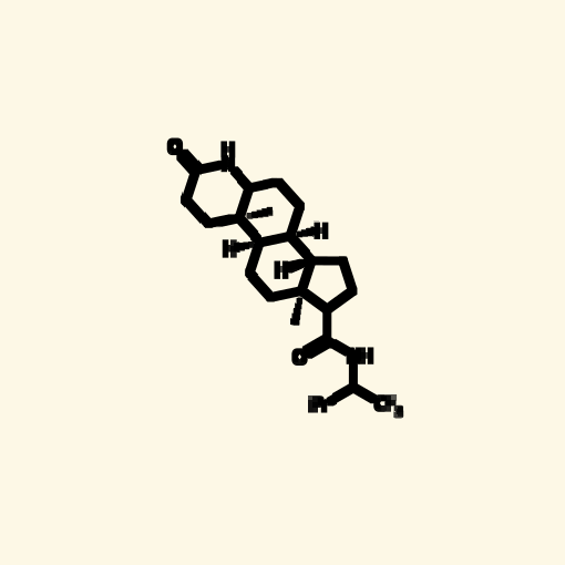 CC(C)C(NC(=O)C1CC[C@H]2[C@@H]3CCC4NC(=O)CC[C@]4(C)[C@@H]3CC[C@]12C)C(F)(F)F